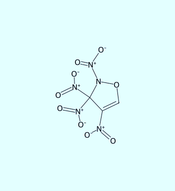 O=[N+]([O-])C1=CON([N+](=O)[O-])C1([N+](=O)[O-])[N+](=O)[O-]